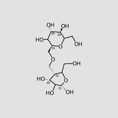 OCC1O[C@H](O)C(O)[C@H](O)[C@@H]1COC[C@@H]1OC(CO)[C@H](O)[C@@H](O)C1O